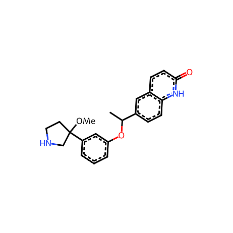 COC1(c2cccc(OC(C)c3ccc4[nH]c(=O)ccc4c3)c2)CCNC1